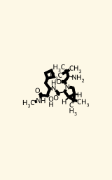 CNC(=O)C(O)C(CC1CCC1)NC(=O)[C@@H]1[C@@H]2[C@H](CN1C(=O)[C@@H](N)C(C)(C)C)C2(C)C